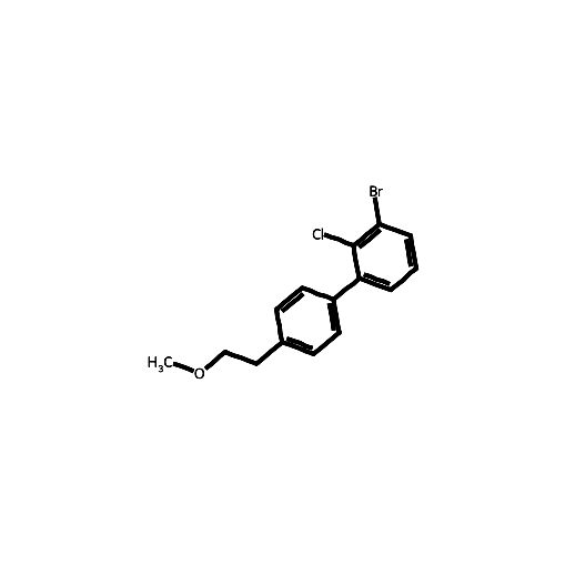 COCCc1ccc(-c2cccc(Br)c2Cl)cc1